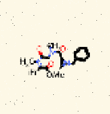 COC(=O)C(C(C)C)N(C)C(=O)CN(C)C(=O)C1C[N@]1Cc1ccccc1